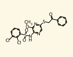 COc1nc(SCC(=O)c2ccccc2)cnc1NS(=O)(=O)c1cccc(Cl)c1Cl